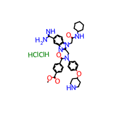 COC(=O)c1ccc(C(=O)N(Cc2nc3cc(C(=N)N)ccc3n2CC(=O)NC2CCCCC2)c2ccc(OC3CCNCC3)cc2)cc1.Cl.Cl